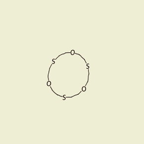 C1CSCCOCCSCCOCCSCCO1